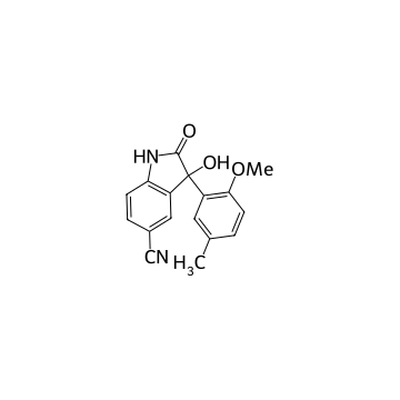 COc1ccc(C)cc1C1(O)C(=O)Nc2ccc(C#N)cc21